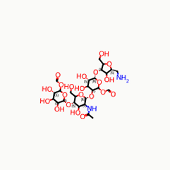 CC(=O)N[C@H]1C(O)[C@H](O[C@@H]2OC(OC=O)[C@@H](O)C(O)[C@@H]2O)C(CO)O[C@@H]1O[C@@H]1C(OC=O)O[C@@H](O[C@@H]2C(CO)O[C@@H](CN)C2O)[C@@H](O)C1O